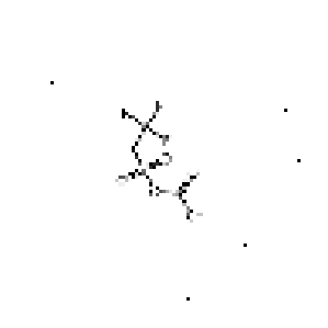 CC(=O)OS(=O)(=O)CC(F)(F)F